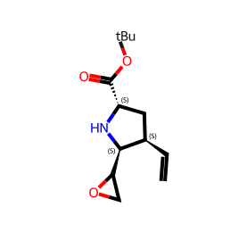 C=C[C@@H]1C[C@@H](C(=O)OC(C)(C)C)N[C@@H]1C1CO1